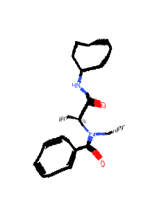 CCCN(C(=O)c1ccccc1)[C@H](C(=O)NC1CCCCC1)C(C)C